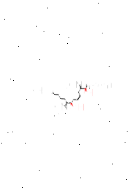 CCCCCC(O)C(C/C=C\CC(O)C(CCCC[C]=O)[N+](=O)[O-])[N+](=O)[O-]